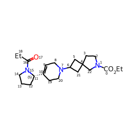 CCOC(=O)N1CCC2(CC(N3CC=C([C@@H]4CCCN4C(=O)CC)CC3)C2)C1